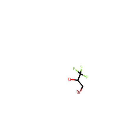 [O]C(CBr)C(F)(F)F